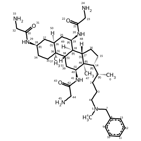 C[C@H](CCCN(C)Cc1ccccc1)[C@H]1CC[C@H]2[C@@H]3[C@H](NC(=O)CN)C[C@@H]4C[C@H](NC(=O)CN)CC[C@]4(C)[C@H]3C[C@H](NC(=O)CN)[C@]12C